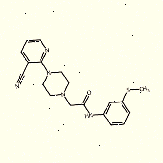 CSc1cccc(NC(=O)CN2CCN(c3ncccc3C#N)CC2)c1